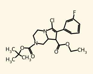 CCOC(=O)C1C(c2cccc(F)c2)=C(Cl)N2CCN(C(=O)OC(C)(C)C)CC12